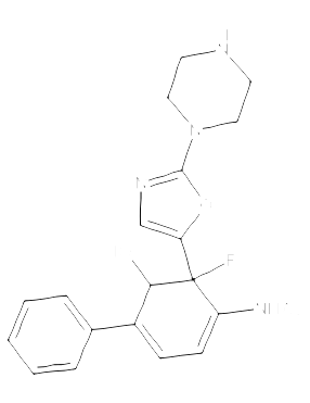 CC(=O)NC1=CC=C(c2ccccc2)C(O)C1(F)c1cnc(N2CCNCC2)o1